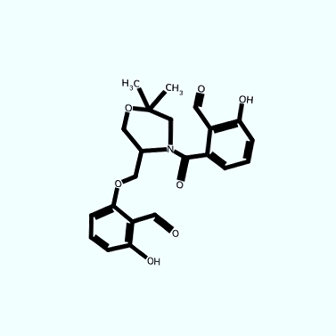 CC1(C)CN(C(=O)c2cccc(O)c2C=O)C(COc2cccc(O)c2C=O)CO1